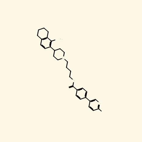 COc1c(C2CCN(CCCCNC(=O)c3ccc(-c4ccc(Cl)nc4)cc3)CC2)ccc2c1CCCC2